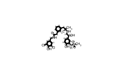 CC(C)(Cc1cccc(CC(=O)NCc2cc(Cl)c(O)c(Cl)c2)c1)NC[C@H](O)c1ccc(O)c(NS(C)(=O)=O)c1